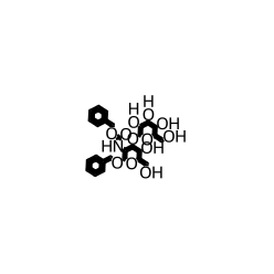 O=C(NC1[C@@H](OCc2ccccc2)OC(CO)[C@@H](O)[C@@H]1O[C@@H]1OC(CO)[C@H](O)[C@H](O)C1O)OCc1ccccc1